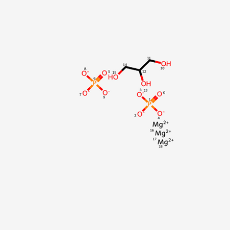 O=P([O-])([O-])[O-].O=P([O-])([O-])[O-].OCC(O)CO.[Mg+2].[Mg+2].[Mg+2]